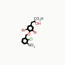 O=C(O)[C@H](O)Cc1cc(Br)c(OCc2cccc([N+](=O)[O-])c2Cl)c(Br)c1